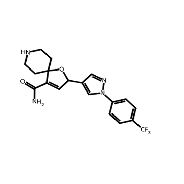 NC(=O)C1=CC(c2cnn(-c3ccc(C(F)(F)F)cc3)c2)OC12CCNCC2